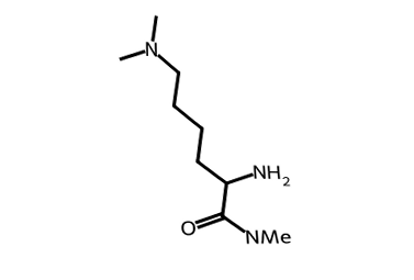 CNC(=O)C(N)CCCCN(C)C